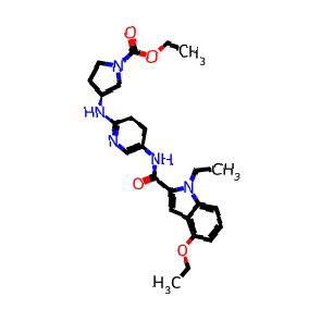 CCOC(=O)N1CC[C@H](NC2=NC=C(NC(=O)c3cc4c(OCC)cccc4n3CC)CC2)C1